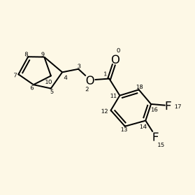 O=C(OCC1CC2C=CC1C2)c1ccc(F)c(F)c1